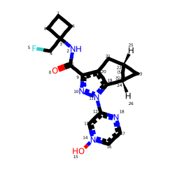 O=C(NC1(CF)CCC1)c1nn(-c2c[n+](O)ccn2)c2c1C[C@@H]1C[C@H]21